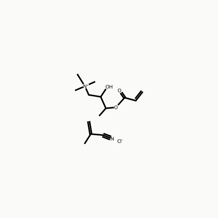 C=C(C)C#N.C=CC(=O)OC(C)C(O)C[N+](C)(C)C.[Cl-]